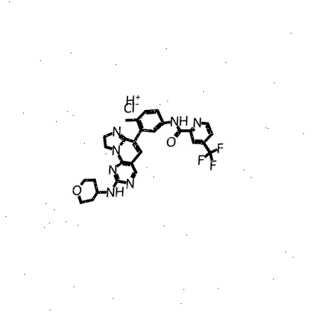 Cc1ccc(NC(=O)c2cc(C(F)(F)F)ccn2)cc1C1=Cc2cnc(NC3CCOCC3)nc2N2CCN=C12.[Cl-].[H+]